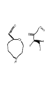 O=C(O)C(F)(F)F.O=CC1CCNCCO1